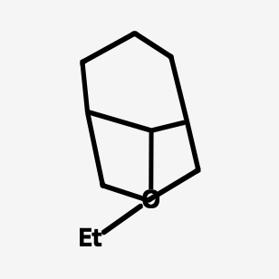 CCOC1C2CCCC1CCC2